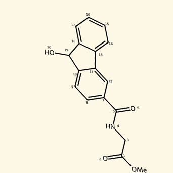 COC(=O)CNC(=O)c1ccc2c(c1)-c1ccccc1C2O